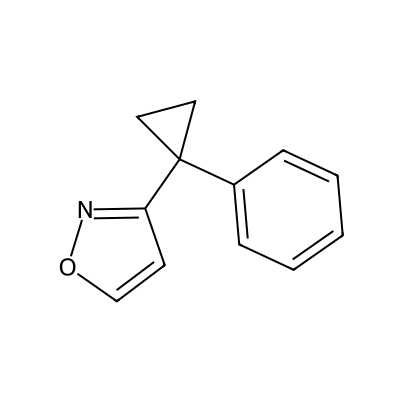 c1ccc(C2(c3ccon3)CC2)cc1